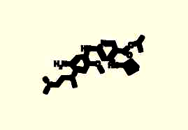 COc1cc(N(C)CCN(C)C)c(N)cc1Nc1cc(NC23CC(C2)C3)c(C(=O)OC(C)C)cn1